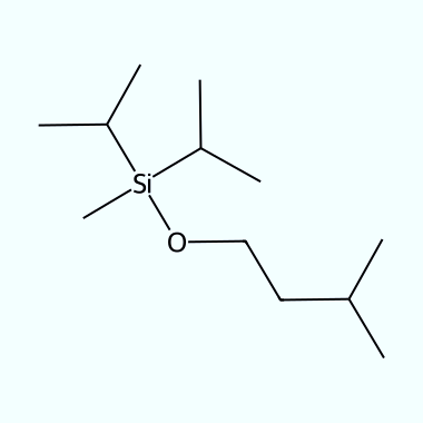 CC(C)CCO[Si](C)(C(C)C)C(C)C